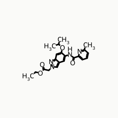 CCOC(=O)Cn1cc2cc(NC(=O)c3cccc(C)n3)c(OC(C)C)cc2n1